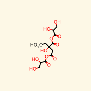 O=C(O)CC(O)(CC(=O)OC(=O)C(O)CO)C(=O)OC(=O)C(O)CO